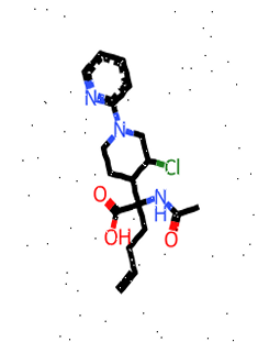 C=CCCC(NC(C)=O)(C(=O)O)C1CCN(c2ccccn2)CC1Cl